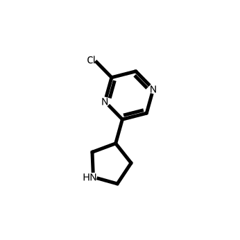 Clc1cncc(C2CCNC2)n1